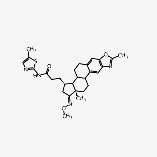 CO/N=C1\C[C@@H](CCC(=O)Nc2ncc(C)s2)C2C3CCc4cc5oc(C)nc5cc4C3CC[C@]12C